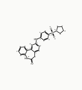 O=C1Cc2cnc(Nc3ccc(S(=O)(=O)N4CCCC4)cc3)nc2-c2ccccc2N1